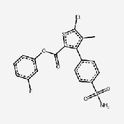 CCc1sc(C(=O)Oc2cccc(F)c2)c(-c2ccc(S(N)(=O)=O)cc2)c1C